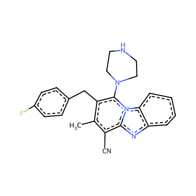 Cc1c(Cc2ccc(F)cc2)c(N2CCNCC2)n2c(nc3ccccc32)c1C#N